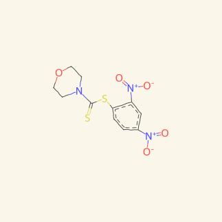 O=[N+]([O-])c1ccc(SC(=S)N2CCOCC2)c([N+](=O)[O-])c1